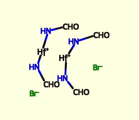 O=C[NH][Hf+][NH]C=O.O=C[NH][Hf+][NH]C=O.[Br-].[Br-]